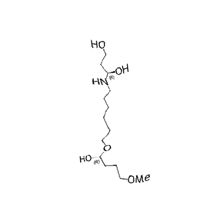 COCCC[C@H](O)OCCCCCCN[C@H](O)CCO